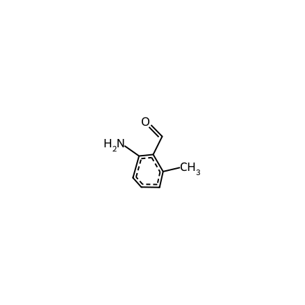 Cc1cccc(N)c1C=O